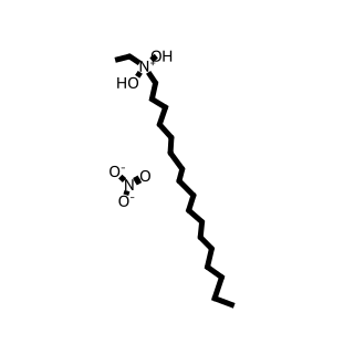 CCCCCCCCCCCCCCCCC[N+](O)(O)CC.O=[N+]([O-])[O-]